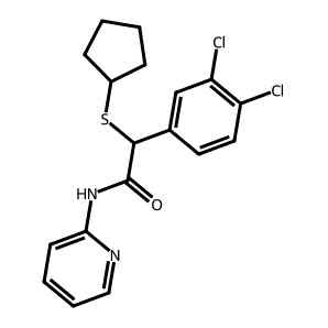 O=C(Nc1ccccn1)C(SC1CCCC1)c1ccc(Cl)c(Cl)c1